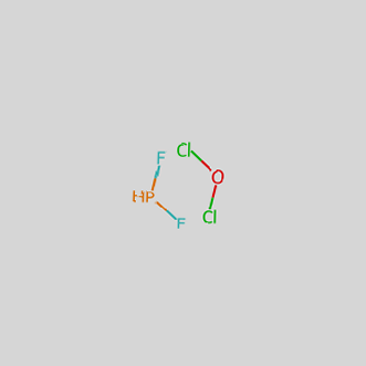 ClOCl.FPF